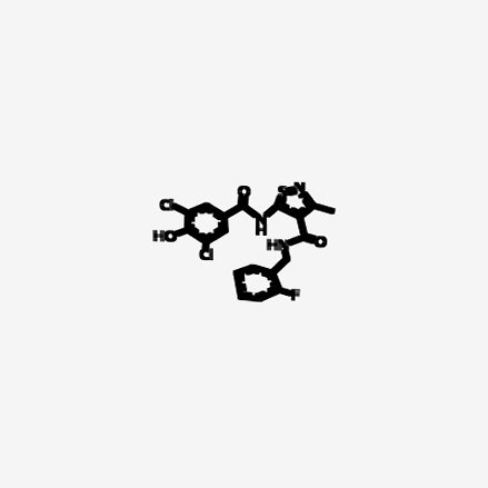 Cc1nsc(NC(=O)c2cc(Cl)c(O)c(Cl)c2)c1C(=O)NCc1ccccc1F